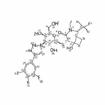 CN(CC(C)(C)F)C(=O)[C@@H](S[C@@H]1O[C@H](CO)[C@H](O)[C@H](n2cc(-c3cc(F)c(F)c(F)c3)nn2)[C@H]1O)C1(O)CCC1